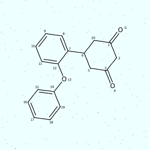 O=C1CC(=O)CC(c2ccccc2Oc2ccccc2)C1